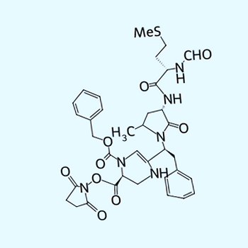 CSCC[C@H](NC=O)C(=O)N[C@H]1CC(C)N([C@@H](Cc2ccccc2)C2=CN(C(=O)OCc3ccccc3)[C@H](C(=O)ON3C(=O)CCC3=O)CN2)C1=O